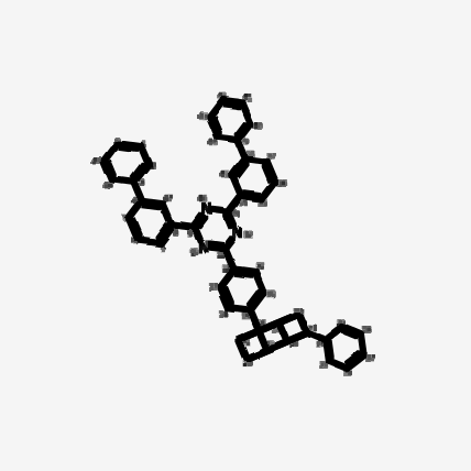 c1ccc(-c2cccc(-c3nc(-c4ccc(C56C7C8C5C5C6C7C85c5ccccc5)cc4)nc(-c4cccc(-c5ccccc5)c4)n3)c2)cc1